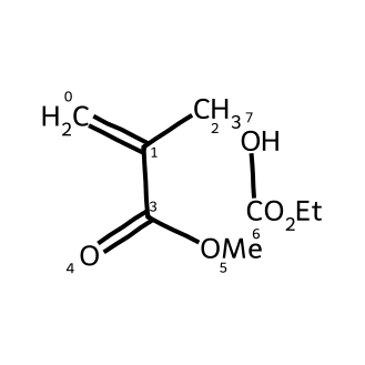 C=C(C)C(=O)OC.CCOC(=O)O